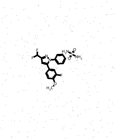 COc1ccc(-c2cc(C(F)F)nn2-c2ccccc2)cc1F.NS(N)(=O)=O